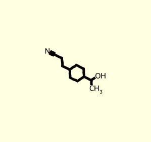 CC(O)C1CCC(CCC#N)CC1